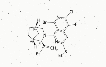 C=C(CC)[C@H]1[C@@H]2CC[C@@H](C2)CN1c1nc(SCC)nc2c(F)c(Cl)nc(Br)c12